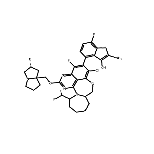 N#Cc1c(N)sc2c(F)ccc(-c3c(Cl)c4c5c(nc(OCC67CCCN6C[C@H](F)C7)nc5c3F)N3C(CCCCC3C(F)F)CO4)c12